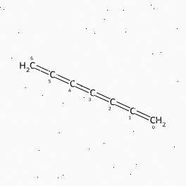 C=C=C=C=C=C=C